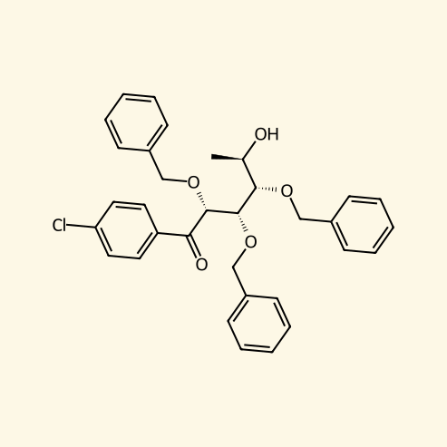 C[C@@H](O)[C@H](OCc1ccccc1)[C@H](OCc1ccccc1)[C@@H](OCc1ccccc1)C(=O)c1ccc(Cl)cc1